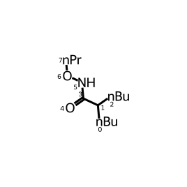 CCCCC(CCCC)C(=O)NOCCC